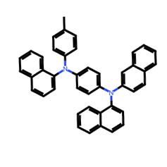 Cc1ccc(N(c2ccc(N(c3ccc4ccccc4c3)c3cccc4ccccc34)cc2)c2cccc3ccccc23)cc1